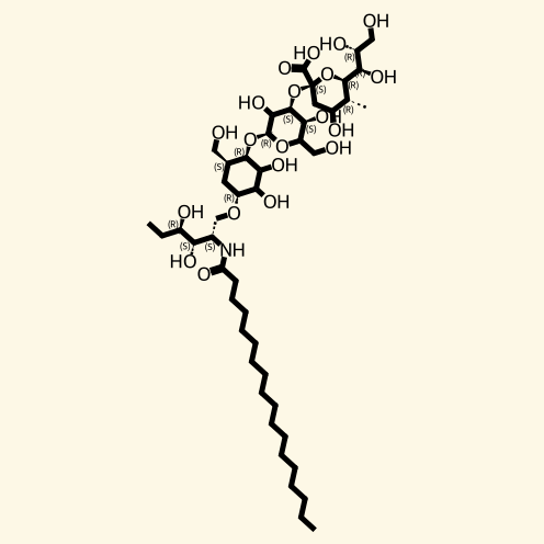 CCCCCCCCCCCCCCCCCC(=O)N[C@@H](CO[C@@H]1C[C@@H](CO)[C@@H](O[C@@H]2OC(CO)[C@H](O)[C@H](O[C@]3(C(=O)O)CC(O)[C@@H](C)[C@H]([C@H](O)[C@H](O)CO)O3)C2O)C(O)C1O)[C@H](O)[C@H](O)CC